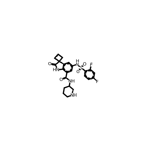 O=C(NC1CCCNC1)c1cc(NS(=O)(=O)c2ccc(F)cc2F)cc2c1NC(=O)C21CCC1